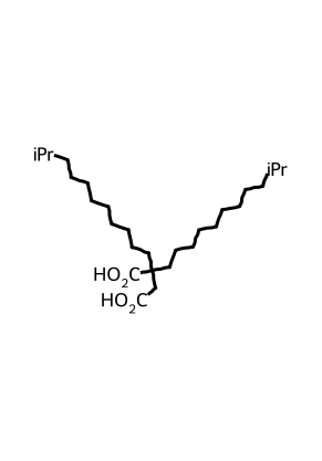 CC(C)CCCCCCCCCC(CCCCCCCCCC(C)C)(CC(=O)O)C(=O)O